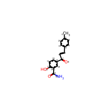 Cc1ccc(C=CC(=O)c2ccc(O)c(C(N)=O)c2)cc1